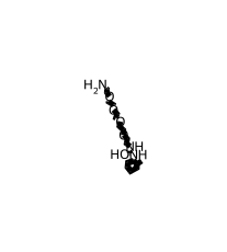 Cc1ccccc1NC(O)NCCOCCOCCOCCOCCN